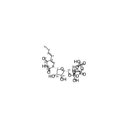 CC/C=C/C1=CC([C@@H]2O[C@H](COP(=O)(O)OP(=O)(O)OP(=O)(O)O)C(O)[C@@H]2O)C(=O)NC1=O